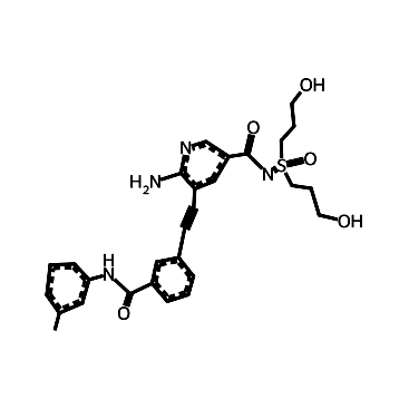 Cc1cccc(NC(=O)c2cccc(C#Cc3cc(C(=O)N=S(=O)(CCCO)CCCO)cnc3N)c2)c1